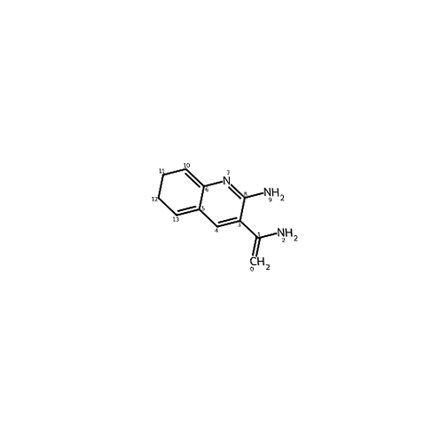 C=C(N)c1cc2c(nc1N)=CCCC=2